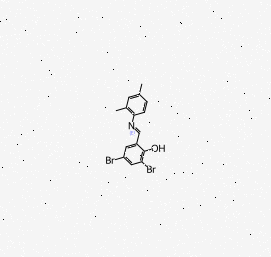 Cc1ccc(/N=C/c2cc(Br)cc(Br)c2O)c(C)c1